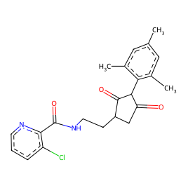 Cc1cc(C)c(C2C(=O)CC(CCNC(=O)c3ncccc3Cl)C2=O)c(C)c1